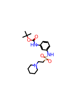 CC(C)(C)OC(=O)Nc1cccc(NS(=O)(=O)CCN2CCCCC2)c1